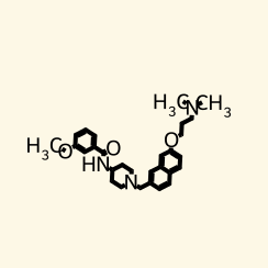 COc1cccc(C(=O)NC2CCN(Cc3ccc4ccc(OCCCN(C)C)cc4c3)CC2)c1